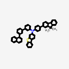 CC1(C)c2ccccc2-c2ccc(-c3ccc(N(c4cccc(-c5cccc(-c6cccc7ccccc67)c5)c4)c4ccc5c(c4)sc4ccccc45)cc3)cc21